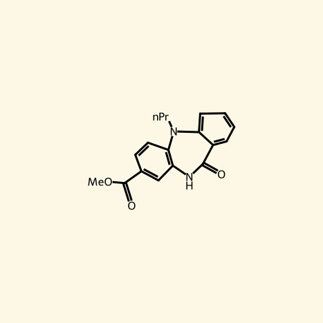 CCCN1c2ccc(C(=O)OC)cc2NC(=O)c2ccccc21